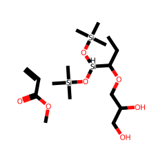 C=CC(=O)OC.CCC(OCC(O)CO)[SiH](O[Si](C)(C)C)O[Si](C)(C)C